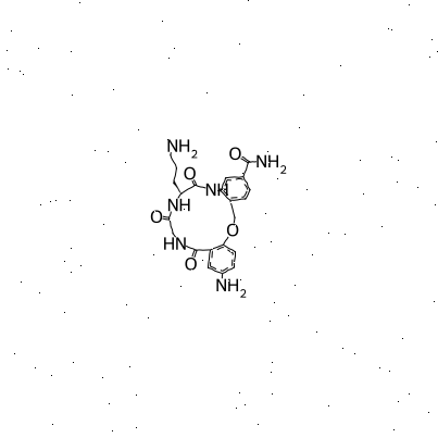 NCCC[C@@H]1NC(=O)CNC(=O)c2cc(N)ccc2OCc2ccc(C(N)=O)cc2NC1=O